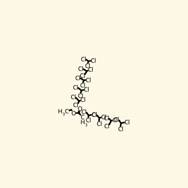 CCOC(C)=O.ClC(Cl)Cl.ClC(Cl)Cl.ClC(Cl)Cl.ClC(Cl)Cl.ClC(Cl)Cl.ClC(Cl)Cl.ClC(Cl)Cl.ClC(Cl)Cl.ClC(Cl)Cl